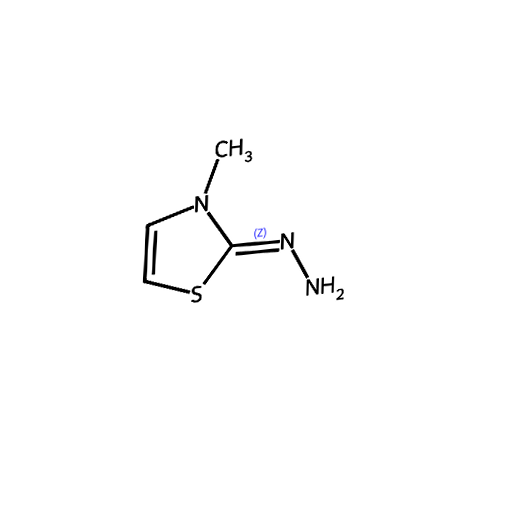 Cn1ccs/c1=N\N